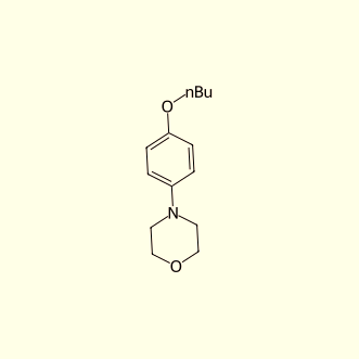 CCCCOc1ccc(N2CCOCC2)cc1